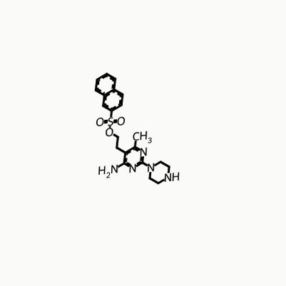 Cc1nc(N2CCNCC2)nc(N)c1CCOS(=O)(=O)c1ccc2ccccc2c1